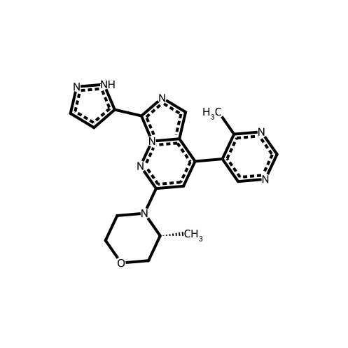 Cc1ncncc1-c1cc(N2CCOC[C@H]2C)nn2c(-c3ccn[nH]3)ncc12